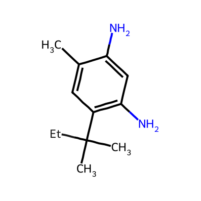 CCC(C)(C)c1cc(C)c(N)cc1N